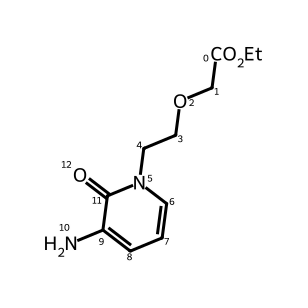 CCOC(=O)COCCn1cccc(N)c1=O